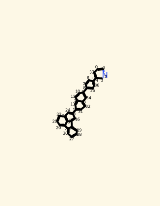 c1cncc(-c2ccc(-c3ccc4cc(-c5cc6c7c(cccc7c5)-c5ccccc5-6)ccc4c3)cc2)c1